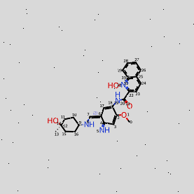 COC1=CC(=N)/C(=C\N[C@H]2CC[C@](C)(O)CC2)C=C1NC(=O)c1ccc2ccccc2[n+]1O